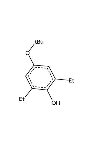 CCc1cc(OC(C)(C)C)cc(CC)c1O